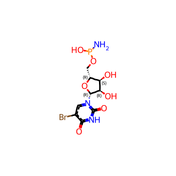 NP(O)OC[C@H]1O[C@@H](n2cc(Br)c(=O)[nH]c2=O)[C@H](O)[C@@H]1O